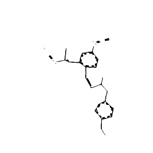 CCc1ccc(CC(C)/C=C\c2ccc(N=C=O)cc2/C=C(\C)N=C=O)cc1